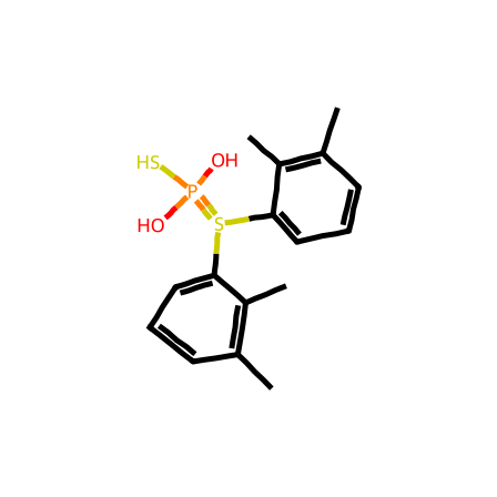 Cc1cccc(S(c2cccc(C)c2C)=P(O)(O)S)c1C